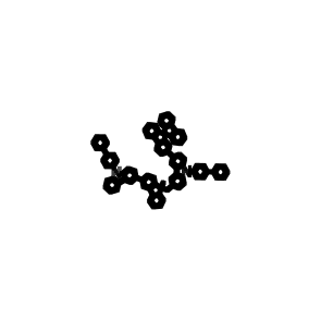 CC1(Cc2ccc3c(c2)c2cc(-c4ccc5c(c4)C4(c6ccccc6-c6ccccc64)c4ccccc4-5)ccc2n3-c2ccc(-c3ccccc3)cc2)c2ccccc2-c2cc(-c3ccc4c(c3)c3ccccc3n4-c3ccc(-c4ccccc4)cc3)ccc21